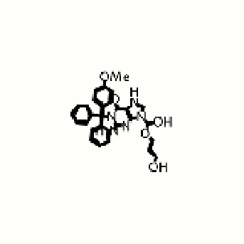 COc1ccc(C(c2ccccc2)(c2ccccc2)n2c(N)nc3c(c2=O)NCN3C(O)OCCCO)cc1